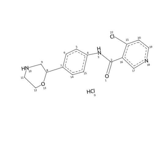 Cl.O=C(Nc1ccc(C2CNCCO2)cc1)c1cnccc1Cl